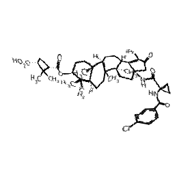 CC(C)C1=C2[C@H]3CC[C@@H]4[C@@]5(C)CC[C@H](OC(=O)[C@H]6C[C@@H](C(=O)O)C6(C)C)C(C)(C)[C@@H]5CC[C@@]4(C)[C@]3(C)CC[C@@]2(NC(=O)C2(NC(=O)c3ccc(Cl)cc3)CC2)CC1=O